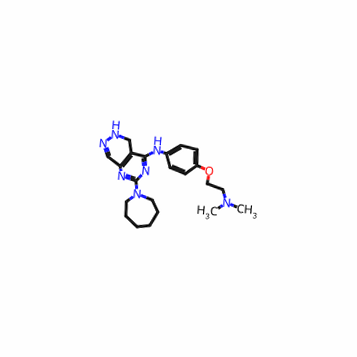 CN(C)CCOc1ccc(Nc2nc(N3CCCCCC3)nc3c2CNN=C3)cc1